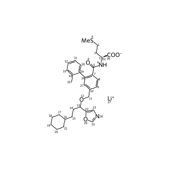 CSCC[C@H](NC(=O)c1ccc(COC(CCC2CCCCC2)c2cnco2)cc1-c1ccccc1C)C(=O)[O-].[Li+]